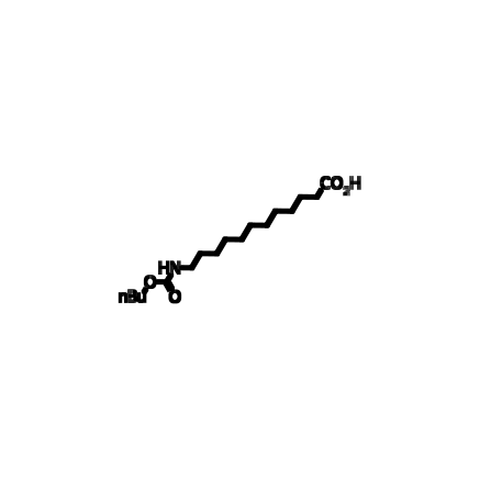 CCCCOC(=O)NCCCCCCCCCCCC(=O)O